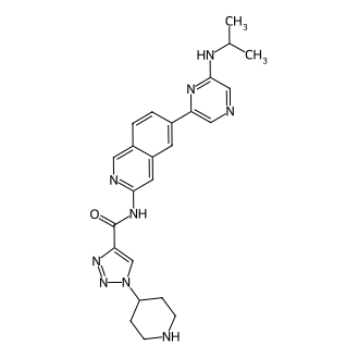 CC(C)Nc1cncc(-c2ccc3cnc(NC(=O)c4cn(C5CCNCC5)nn4)cc3c2)n1